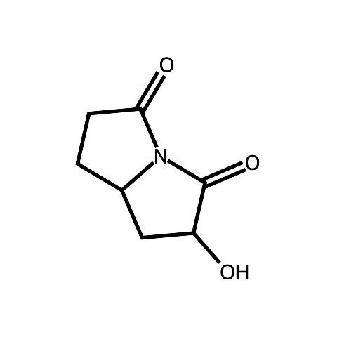 O=C1CCC2CC(O)C(=O)N12